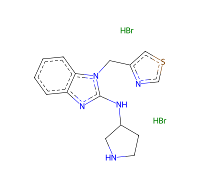 Br.Br.c1ccc2c(c1)nc(NC1CCNC1)n2Cc1cscn1